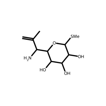 C=C(C)C(N)C1OC(SC)C(O)C(O)C1O